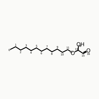 CCCCCCCCCCCCOC(O)C=O